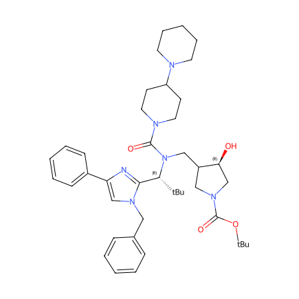 CC(C)(C)OC(=O)N1CC(CN(C(=O)N2CCC(N3CCCCC3)CC2)[C@@H](c2nc(-c3ccccc3)cn2Cc2ccccc2)C(C)(C)C)[C@@H](O)C1